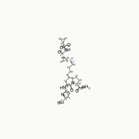 CC(C)(C)c1csc(N[C@@H](CCCCC/C=C\[C@@H]2C[C@@H]2C(=O)NS(=O)(=O)C2CC2)C(=O)N2CCC[C@H]2C(N)=O)n1